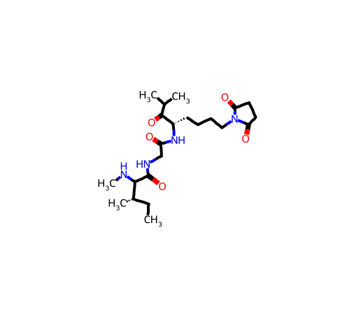 CC[C@H](C)C(NC)C(=O)NCC(=O)N[C@@H](CCCCN1C(=O)CCC1=O)C(=O)C(C)C